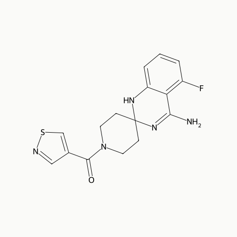 NC1=NC2(CCN(C(=O)c3cnsc3)CC2)Nc2cccc(F)c21